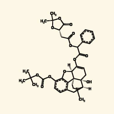 CN1CC[C@]23c4c5ccc(OC(=O)OC(C)(C)C)c4O[C@H]2C(OC(=O)C(OC(=O)C[C@@H]2OC(C)(C)OC2=O)c2ccccc2)=CC[C@@]3(O)[C@H]1C5